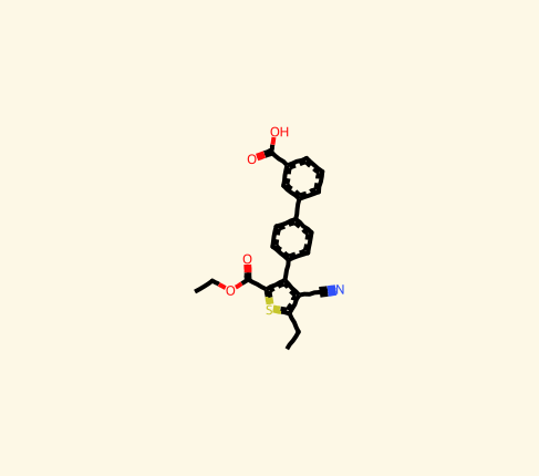 CCOC(=O)c1sc(CC)c(C#N)c1-c1ccc(-c2cccc(C(=O)O)c2)cc1